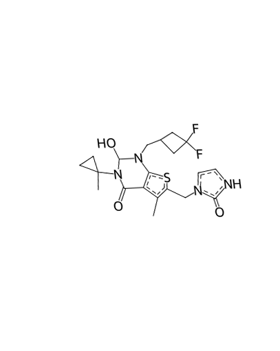 Cc1c(Cn2cc[nH]c2=O)sc2c1C(=O)N(C1(C)CC1)C(O)N2CC1CC(F)(F)C1